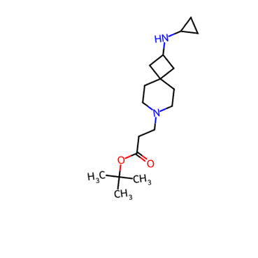 CC(C)(C)OC(=O)CCN1CCC2(CC1)CC(NC1CC1)C2